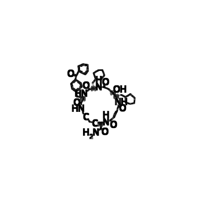 NC(=O)[C@H]1CCCCNC(=O)[C@@H](Cc2ccc(C(=O)c3ccccc3)cc2)NC(=O)[C@H](CC2CCCCC2)NC(=O)C[C@H](O)[C@H](CC2CCCCC2)NC(=O)C=CC(=O)N1